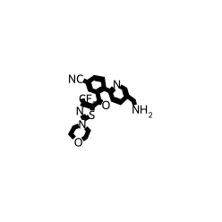 N#Cc1ccc(-c2ccc(CN)cn2)c(C(=O)c2sc(N3CCOCC3)nc2C(F)(F)F)c1